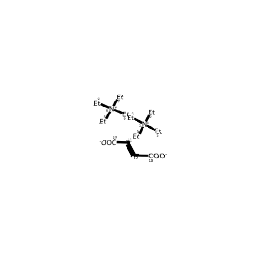 CC[N+](CC)(CC)CC.CC[N+](CC)(CC)CC.O=C([O-])C=CC(=O)[O-]